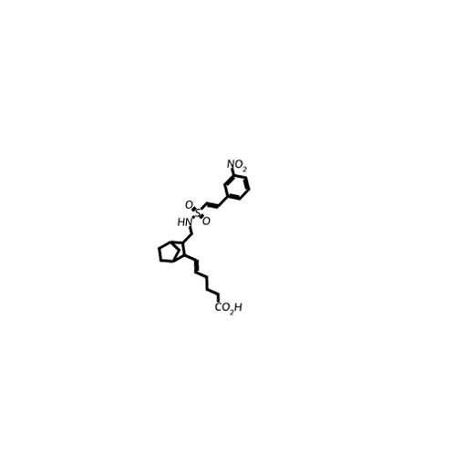 O=C(O)CCCC=CC1C2CCC(C2)C1CNS(=O)(=O)C=Cc1cccc([N+](=O)[O-])c1